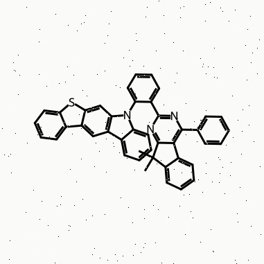 CC1(C)c2ccccc2-c2c(-c3ccccc3)nc(-c3ccccc3-n3c4ccccc4c4cc5c(cc43)sc3ccccc35)nc21